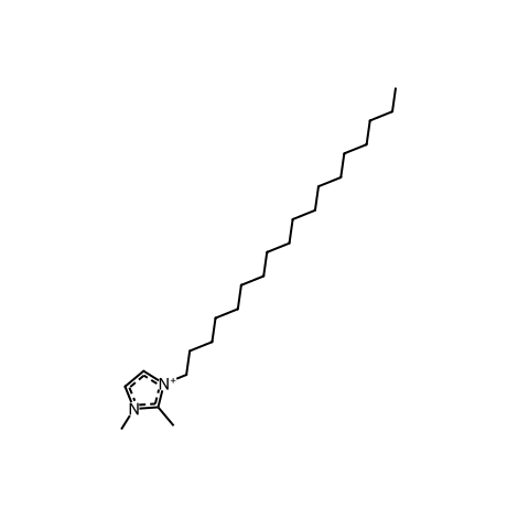 CCCCCCCCCCCCCCCCCC[n+]1ccn(C)c1C